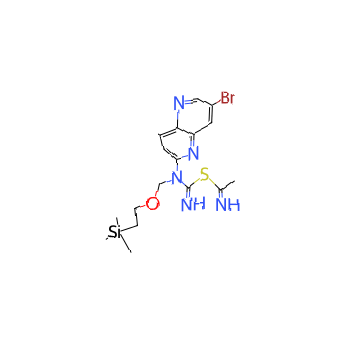 CC(=N)SC(=N)N(COCC[Si](C)(C)C)c1ccc2ncc(Br)cc2n1